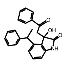 CC(c1ccccc1)c1cccc2c1C(O)(CC(=O)c1ccccc1)C(=O)N2